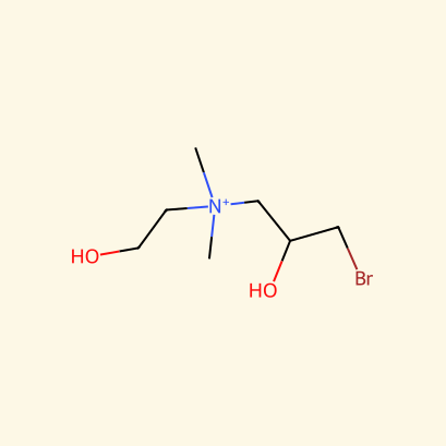 C[N+](C)(CCO)CC(O)CBr